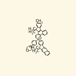 Cc1ccc2c(c1)C(C)(C)c1c3c(c4ccccc4c1-2)OC(c1ccc(N2CCOCC2)cc1)(c1ccc2c(c1)C(C)(C)c1cc4ccccc4cc1-2)C=C3